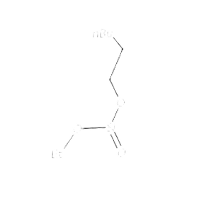 CCCCCCO[Si](=O)OCC